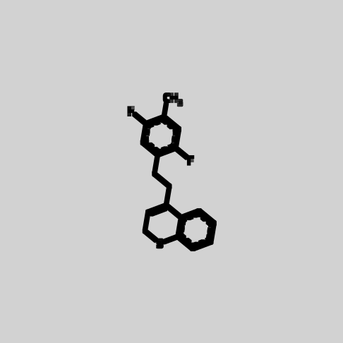 Cc1cc(F)c(CCC2=CCSc3ccccc32)cc1F